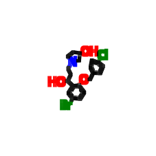 OC(CCN1CC[C@@H](O)C1)c1cc(Br)ccc1OCc1ccc(Cl)cc1